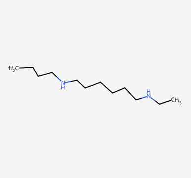 [CH2]CCCNCCCCCCNCC